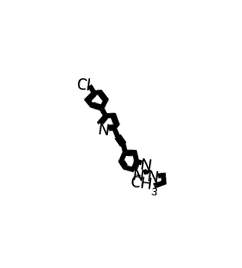 Cn1c(N2CCC2)nc2cc(C#Cc3ccc(-c4ccc(Cl)cc4)cn3)ccc21